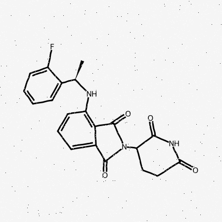 C[C@@H](Nc1cccc2c1C(=O)N(C1CCC(=O)NC1=O)C2=O)c1ccccc1F